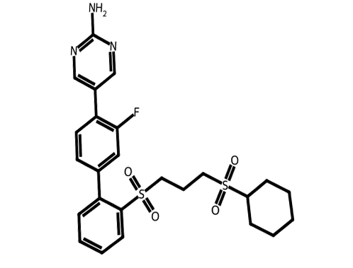 Nc1ncc(-c2ccc(-c3ccccc3S(=O)(=O)CCCS(=O)(=O)C3CCCCC3)cc2F)cn1